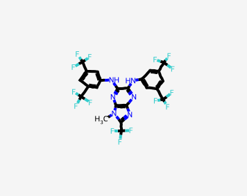 Cn1c(C(F)(F)F)nc2nc(Nc3cc(C(F)(F)F)cc(C(F)(F)F)c3)c(Nc3cc(C(F)(F)F)cc(C(F)(F)F)c3)nc21